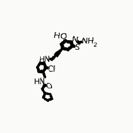 Nc1nc2c(O)cc(C#CCNc3cccc(CNC(=O)CC4CCCC4)c3Cl)cc2s1